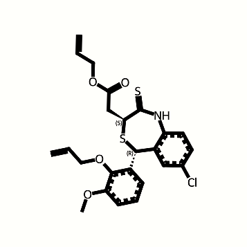 C=CCOC(=O)C[C@@H]1S[C@@H](c2cccc(OC)c2OCC=C)c2cc(Cl)ccc2NC1=S